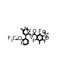 Cc1cc(-c2cccnc2OCC(F)(F)F)c(N(C)C(=O)c2c(F)c(C)c(F)c(S(C)(=O)=O)c2F)nn1